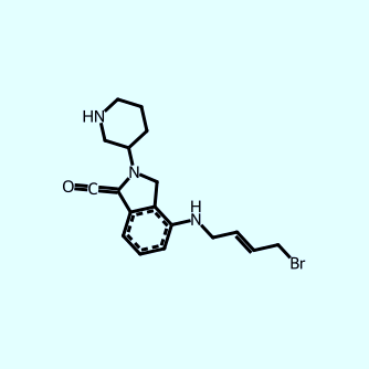 O=C=C1c2cccc(NC/C=C/CBr)c2CN1C1CCCNC1